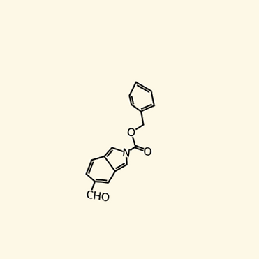 O=Cc1ccc2cn(C(=O)OCc3ccccc3)cc2c1